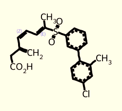 C=C(/C=C\C=C(/C)S(=O)(=O)c1cccc(-c2ccc(Cl)cc2C)c1)CC(=O)O